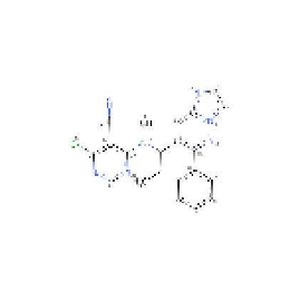 CCC(c1cc2nccn2nc1-c1ccccc1)N(C)c1ncnc(Cl)c1C#N